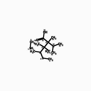 CS.CSC(C)C(C)(C)C(C)(C(=O)O)N(C)C